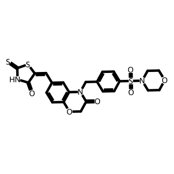 O=C1NC(=S)S/C1=C/c1ccc2c(c1)N(Cc1ccc(S(=O)(=O)N3CCOCC3)cc1)C(=O)CO2